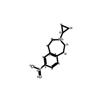 O=[N+]([O-])c1ccc2c(c1)CCN(C1CC1)CC2